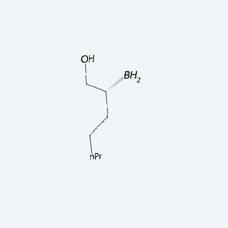 B[C@@H](CO)CCCCC